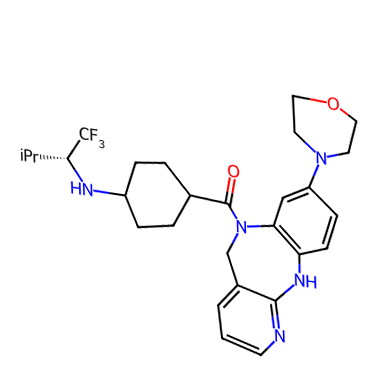 CC(C)[C@@H](NC1CCC(C(=O)N2Cc3cccnc3Nc3ccc(N4CCOCC4)cc32)CC1)C(F)(F)F